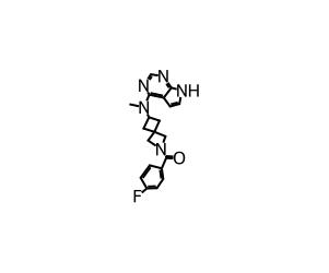 CN(c1ncnc2[nH]ccc12)C1CC2(C1)CN(C(=O)c1ccc(F)cc1)C2